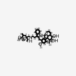 C=C(C[C@@](O)(CC)CNCCc1c(Cc2cc3c(cc2OC)N(C)[C@H]2[C@H](O)[C@H](O)C4C=CCN5CC[C@]32C45)[nH]c2ccccc12)C(=O)OC